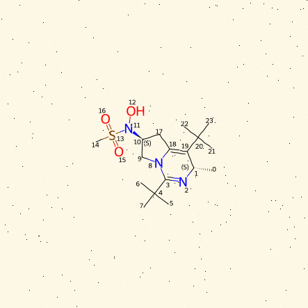 C[C@@H]1N=C(C(C)(C)C)N2C[C@@H](N(O)S(C)(=O)=O)CC2=C1C(C)(C)C